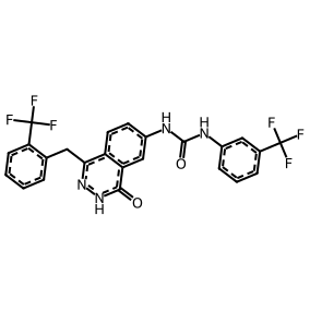 O=C(Nc1cccc(C(F)(F)F)c1)Nc1ccc2c(Cc3ccccc3C(F)(F)F)n[nH]c(=O)c2c1